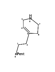 CCCCCCCC1=CCNCC1